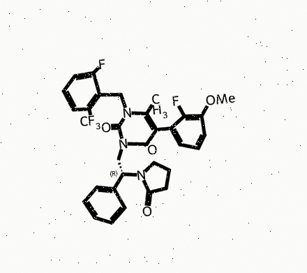 COc1cccc(-c2c(C)n(Cc3c(F)cccc3C(F)(F)F)c(=O)n(C[C@@H](c3ccccc3)N3CCCC3=O)c2=O)c1F